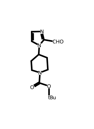 CC(C)(C)OC(=O)N1CCC(n2ccnc2C=O)CC1